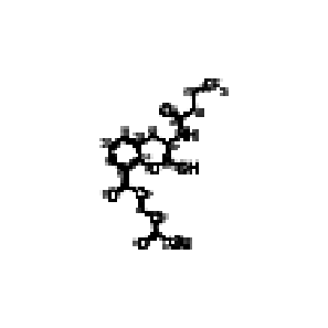 CC(C)(C)C(=O)OCOC(=O)c1cccc2c1OB(O)C(NC(=O)CCC(F)(F)F)C2